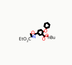 CCCCOC(=O)c1cc(-c2nc(C(=O)OCC)co2)ccc1Oc1ccccc1